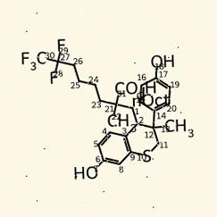 CCCCCCCCC(C1c2ccc(O)cc2SCC1(C)c1ccc(O)cc1)C(C)(CCCCC(F)(F)C(F)(F)F)C(=O)O